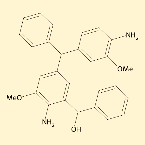 COc1cc(C(c2ccccc2)c2cc(OC)c(N)c(C(O)c3ccccc3)c2)ccc1N